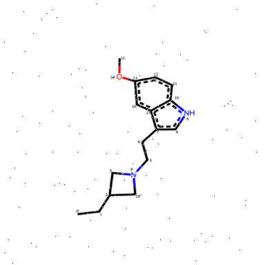 CCC1CN(CCc2c[nH]c3ccc(OC)cc23)C1